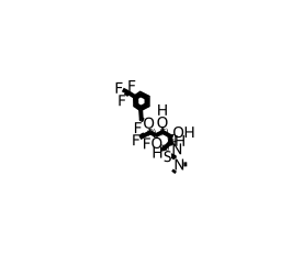 CN(C)C1=N[C@@H]2[C@@H](O)[C@H](O)C([C@@H](OCc3cccc(C(F)(F)F)c3)C(F)(F)F)O[C@@H]2S1